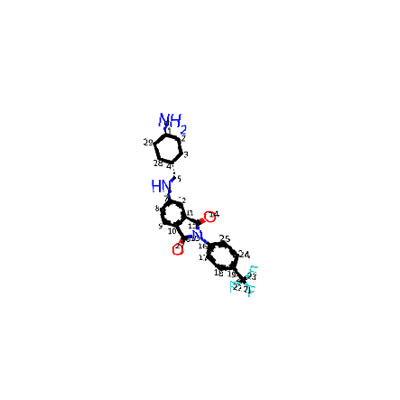 N[C@H]1CC[C@H](CNc2ccc3c(c2)C(=O)N(c2ccc(C(F)(F)F)cc2)C3=O)CC1